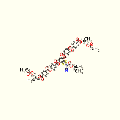 C=CC(=O)OCC[C@@H](C)COC(=O)C1CCC(C(=O)OC2CCC(C(=O)Oc3ccc(OC(=O)C4CCC(OC(=O)C5CCC(C(=O)OC[C@@H](C)CCOC(=O)C=C)CC5)CC4)c4c3S/C(=C(/C#N)C(=O)OC[C@H](C)CC)S4)CC2)CC1